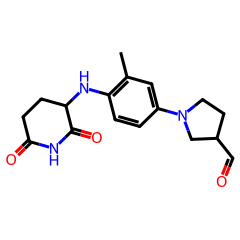 Cc1cc(N2CCC(C=O)C2)ccc1NC1CCC(=O)NC1=O